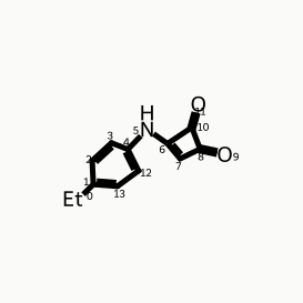 CCc1ccc(Nc2cc(=O)c2=O)cc1